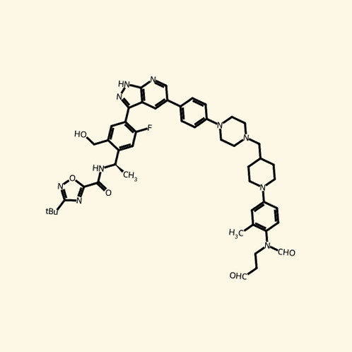 Cc1cc(N2CCC(CN3CCN(c4ccc(-c5cnc6[nH]nc(-c7cc(CO)c([C@@H](C)NC(=O)c8nc(C(C)(C)C)no8)cc7F)c6c5)cc4)CC3)CC2)ccc1N(C=O)CCC=O